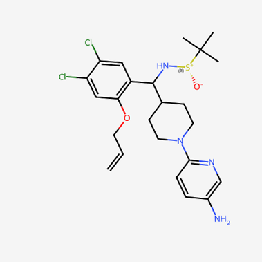 C=CCOc1cc(Cl)c(Cl)cc1C(N[S@@+]([O-])C(C)(C)C)C1CCN(c2ccc(N)cn2)CC1